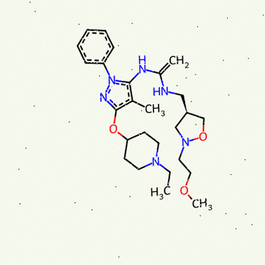 C=C(NC[C@H]1CON(CCOC)C1)Nc1c(C)c(OC2CCN(CC)CC2)nn1-c1ccccc1